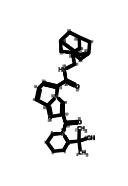 CC(C)(O)C1CCCCN1C(=O)c1cn2c(C(=O)NCC34CC5CC(CC(C5)C3)C4)cccc2n1